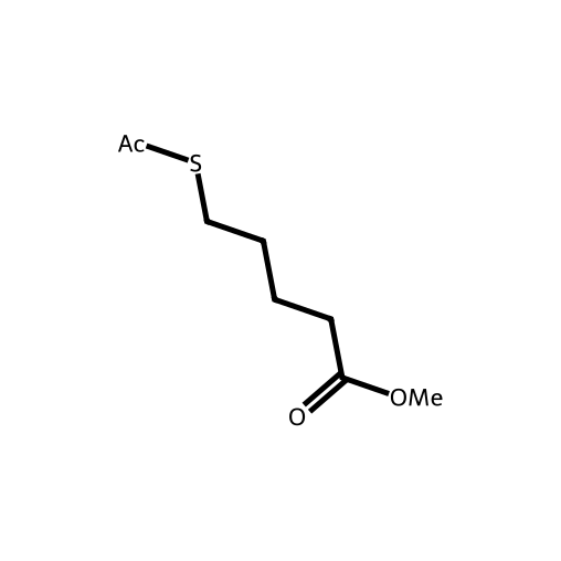 COC(=O)CCCCSC(C)=O